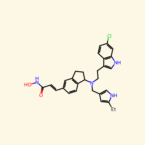 CCc1cc(CN(CCc2c[nH]c3cc(Cl)ccc23)C2CCc3cc(C=CC(=O)NO)ccc32)c[nH]1